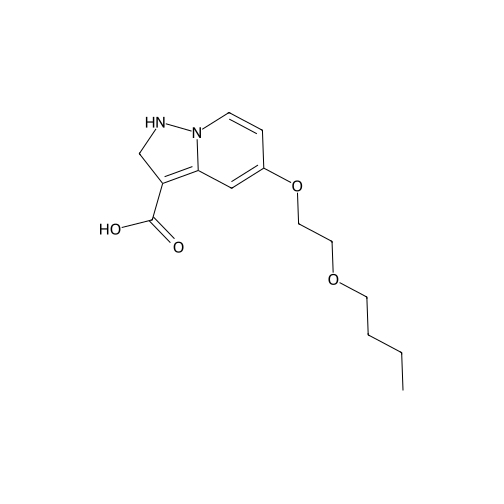 CCCCOCCOC1=CC2=C(C(=O)O)CNN2C=C1